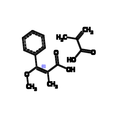 C=C(C)C(=O)O.CO/C(=C(\C)C(=O)O)c1ccccc1